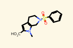 Cn1c(C(=O)O)cc2c1CN(S(=O)(=O)c1ccccc1)CC2